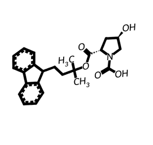 CC(C)(CCC1c2ccccc2-c2ccccc21)OC(=O)[C@@H]1C[C@@H](O)CN1C(=O)O